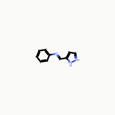 C(=N\c1ccccc1)/c1ccn[nH]1